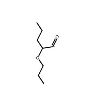 CCCOC([C]=O)CCC